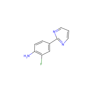 Nc1ccc(-c2ncccn2)cc1F